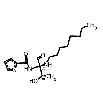 CCCCCCCCN[C@](C=O)(NC(=O)c1cccs1)[C@@H](C)O